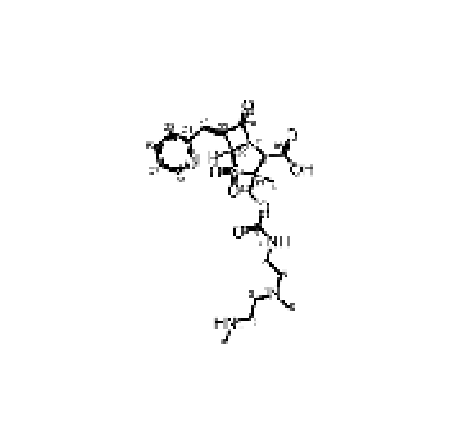 CNCCN(C)CCNC(=O)OC[C@@]1(C)[C@H](C(=O)O)N2C(=O)/C(=C/c3ccccn3)[C@H]2S1(=O)=O